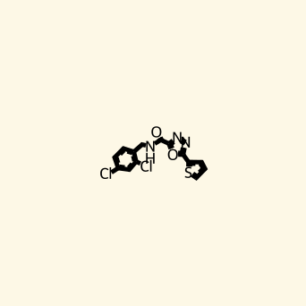 O=C(NCc1ccc(Cl)cc1Cl)c1nnc(-c2cccs2)o1